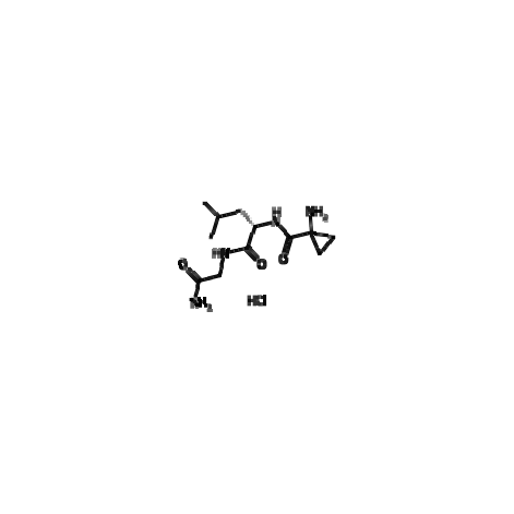 CC(C)C[C@H](NC(=O)C1(N)CC1)C(=O)NCC(N)=O.Cl